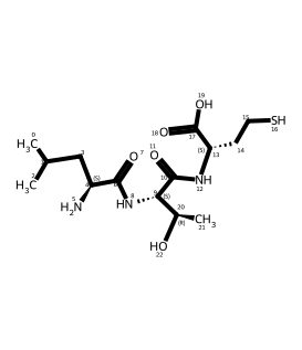 CC(C)C[C@H](N)C(=O)N[C@H](C(=O)N[C@@H](CCS)C(=O)O)[C@@H](C)O